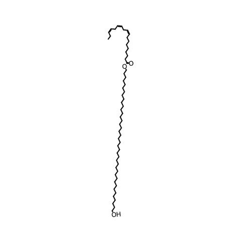 CC/C=C\C/C=C\C/C=C\CCCCCCCC(=O)OCCCCCCCCCCCCCCCCCCCCCCCCCCCCCCCCCCCCCCCCO